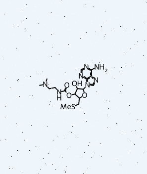 CSCC1OC(n2cnc3c(N)ncnc32)C(O)C1OC(=O)NCCN(C)C